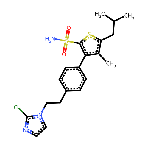 Cc1c(CC(C)C)sc(S(N)(=O)=O)c1-c1ccc(CCn2ccnc2Cl)cc1